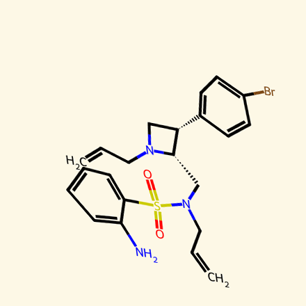 C=CCN1C[C@H](c2ccc(Br)cc2)[C@@H]1CN(CC=C)S(=O)(=O)c1ccccc1N